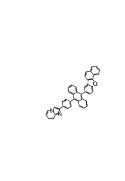 c1ccc2c(c1)ccc1c3cc(-c4c5ccccc5c(-c5ccc(-c6cn7ccccc7n6)cc5)c5ccccc45)ccc3oc21